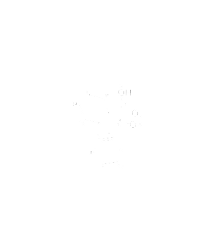 O=C(O)C1(C(=O)c2ccccc2)CCCCC1